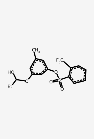 CCC(O)Oc1cc(C)cc(OS(=O)(=O)c2ccccc2C(F)(F)F)c1